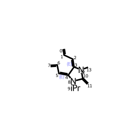 C=C/C=C1\C(=C/C=C)N(C(C)C)C(=C)N1C